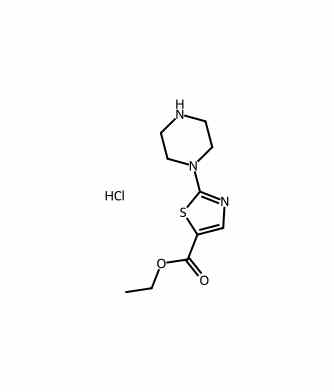 CCOC(=O)c1cnc(N2CCNCC2)s1.Cl